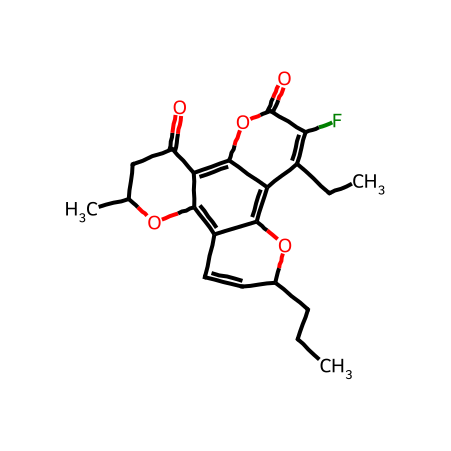 CCCC1C=Cc2c3c(c4oc(=O)c(F)c(CC)c4c2O1)C(=O)CC(C)O3